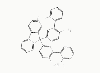 Oc1ccc(C2(c3ccc(O)c(-c4ccccc4C(F)(F)F)c3)c3ccccc3-c3ccccc32)cc1-c1ccccc1C(F)(F)F